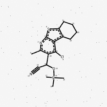 Cc1nc2sc3c(c2c(Cl)c1C(C#N)O[Si](C)(C)C)CCCC3